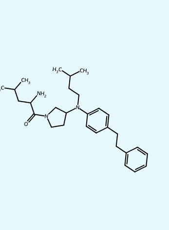 CC(C)CCN(c1ccc(CCc2ccccc2)cc1)C1CCN(C(=O)C(N)CC(C)C)C1